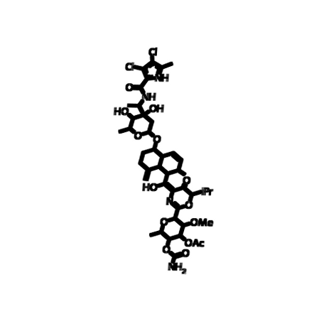 C=C1CCC(OC2CC(O)(C(C)NC(=O)c3[nH]c(C)c(Cl)c3Cl)C(O)C(C)O2)C2C=CC(C)C(/C(O)=C3/N=C(C4OC(C)C(OC(N)=O)C(OC(C)=O)C4OC)OC(C(C)C)C3=O)C12